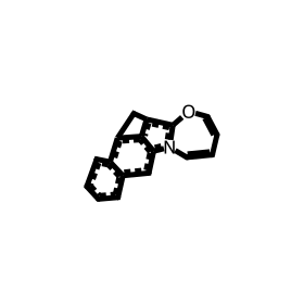 C1=COc2c3c4c(c5ccccc5cc4n2C=C1)C3